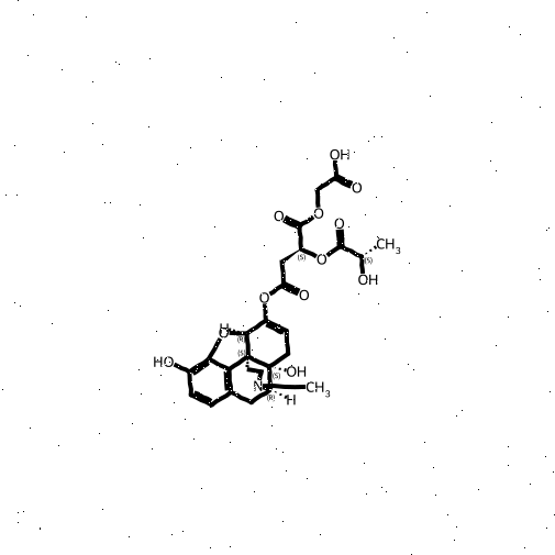 C[C@H](O)C(=O)O[C@@H](CC(=O)OC1=CC[C@@]2(O)[C@H]3Cc4ccc(O)c5c4[C@@]2(CCN3C)[C@H]1O5)C(=O)OCC(=O)O